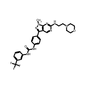 Cn1nc(-c2ccc(NC(=O)Nc3cccc(C(F)(F)F)c3)cc2)c2cnc(NCCN3CCOCC3)nc21